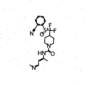 C/N=C\C=C(/C)NC(=O)N1CCC(C(F)(F)[S+]([O-])c2ccccc2C#N)CC1